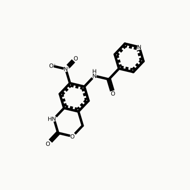 O=C1Nc2cc([N+](=O)[O-])c(NC(=O)c3ccncc3)cc2CO1